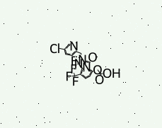 O=C(O)Oc1ccc(C(F)(F)F)c2nn(Cc3ncc(Cl)cc3F)c(=O)n12